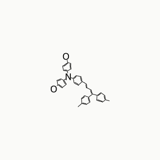 COc1ccc(N(c2ccc(C=CC=C(c3ccc(C)cc3)c3ccc(C)cc3)cc2)c2ccc(OC)cc2)cc1